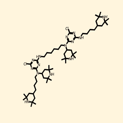 CC1(C)CC(CCCCNc2nc(Cl)nc(N(CCCCCCNc3nc(Cl)nc(N(CCCCC4CC(C)(C)NC(C)(C)C4)C4CC(C)(C)NC(C)(C)C4)n3)C3CC(C)(C)NC(C)(C)C3)n2)CC(C)(C)N1